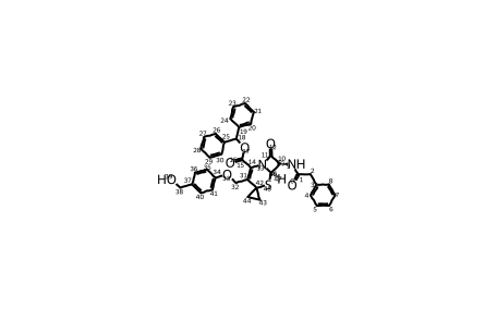 O=C(Cc1ccccc1)N[C@@H]1C(=O)N2C(C(=O)OC(c3ccccc3)c3ccccc3)=C(COc3ccc(CO)cc3)C3(CC3)S[C@H]12